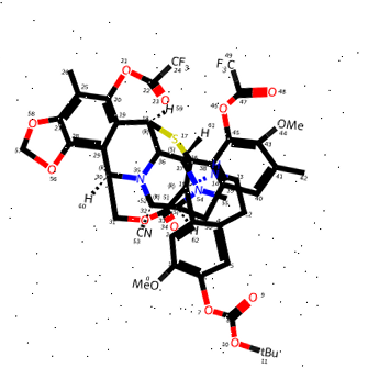 COc1cc2c(cc1OC(=O)OC(C)(C)C)CCN[C@]21CS[C@@H]2c3c(OC(=O)C(F)(F)F)c(C)c4c(c3[C@H](COC1=O)N1C2[C@@H]2c3c(cc(C)c(OC)c3OC(=O)C(F)(F)F)C[C@@H]([C@@H]1C#N)N2C)OCO4